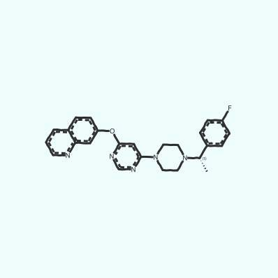 C[C@@H](c1ccc(F)cc1)N1CCN(c2cc(Oc3ccc4cccnc4c3)ncn2)CC1